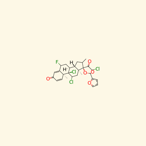 CC1C[C@H]2[C@@H]3CC(F)C4=CC(=O)C=C[C@]4(C)[C@@]3(Cl)C(Cl)C[C@]2(C)[C@@]1(OC(=O)c1ccco1)C(=O)CCl